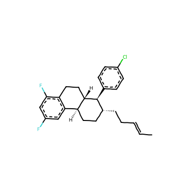 C/C=C/CC[C@@H]1CC[C@H]2c3cc(F)cc(F)c3CC[C@@H]2[C@H]1c1ccc(Cl)cc1